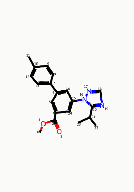 COC(=O)c1cc(-c2ccc(C)cc2)cc(-n2ncnc2C(C)C)c1